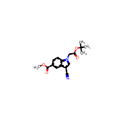 COC(=O)c1ccc2c(c1)c(C#N)cn2CC(=O)OC(C)(C)C